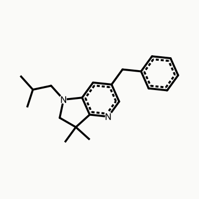 C[C](C)CN1CC(C)(C)c2ncc(Cc3ccccc3)cc21